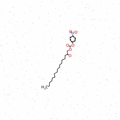 CCCCCCCCCCCCCCCC(=O)COC(=O)Oc1ccc([N+](=O)[O-])cc1